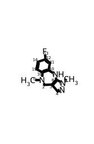 CN1Cc2cnn(C)c2Nc2cc(F)ccc21